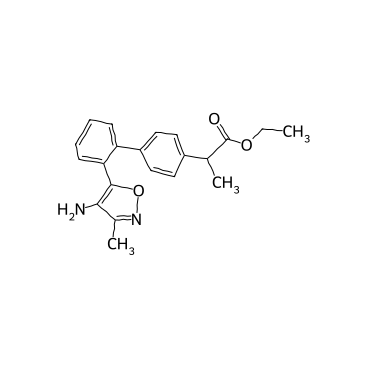 CCOC(=O)C(C)c1ccc(-c2ccccc2-c2onc(C)c2N)cc1